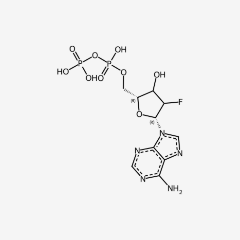 Nc1ncnc2c1ncn2[C@@H]1O[C@H](COP(=O)(O)OP(=O)(O)O)C(O)C1F